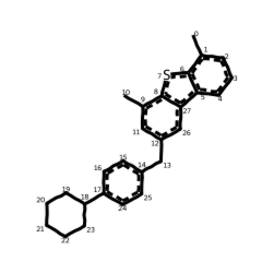 Cc1cccc2c1sc1c(C)cc(Cc3ccc(C4CCCCC4)cc3)cc12